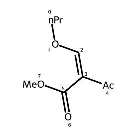 CCCO/C=C(/C(C)=O)C(=O)OC